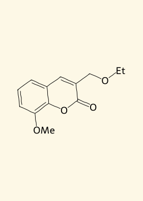 CCOCc1cc2cccc(OC)c2oc1=O